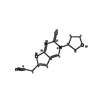 CCCCCCCCCCc1cc2cn(C3CCOC3)c(=O)nc2o1